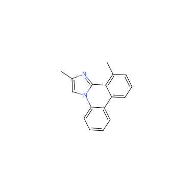 Cc1cn2c3ccccc3c3cccc(C)c3c2n1